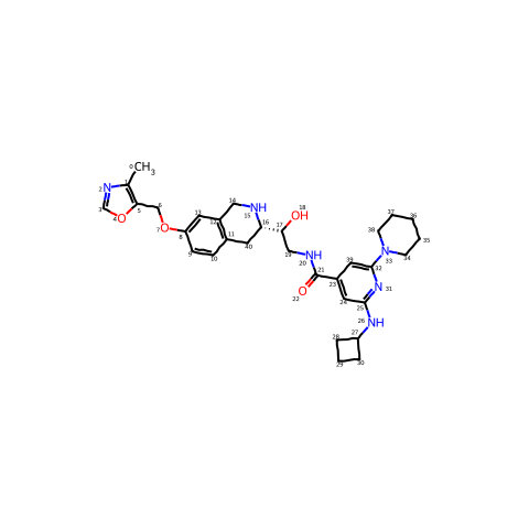 Cc1ncoc1COc1ccc2c(c1)CN[C@H](C(O)CNC(=O)c1cc(NC3CCC3)nc(N3CCCCC3)c1)C2